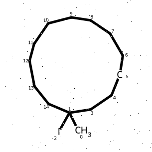 CC1(I)CCCCCCCCCCCC1